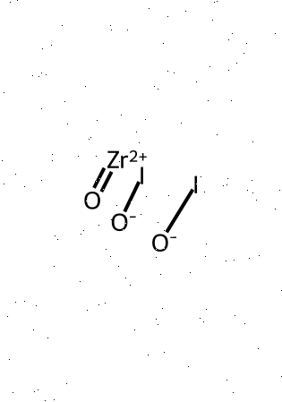 [O-]I.[O-]I.[O]=[Zr+2]